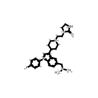 CN(C)Cc1ccc2c(c1)c(C1CCN(CCN3CCNC3=O)CC1)cn2-c1ccc(F)cc1